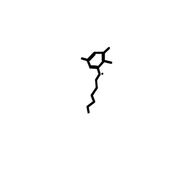 CCCCCC[CH]c1cc(C)cc(C)c1C